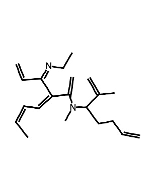 C=CCCC(C(=C)C)N(C)C(=C)C(=C/C=C\C)/C(C=C)=N\CC